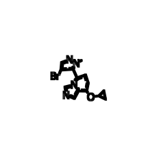 Cn1ncc(Br)c1-c1ccc(OC2CC2)c2cncn12